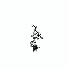 CCCC[N+](CC)(CC)CCCC.F[B-](F)(F)F